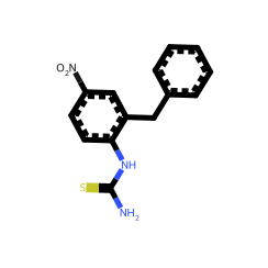 NC(=S)Nc1ccc([N+](=O)[O-])cc1Cc1ccccc1